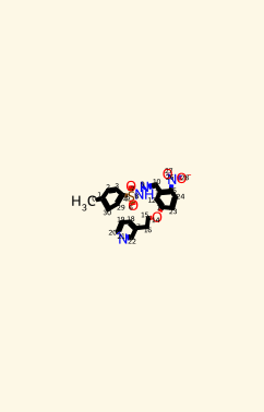 Cc1ccc(S(=O)(=O)N/N=C\c2cc(OCCc3cccnc3)ccc2[N+](=O)[O-])cc1